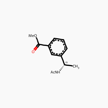 COC(=O)c1cccc([C@H](C)NC(C)=O)c1